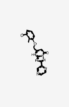 Cc1c(Cl)cccc1OCc1cc(=O)n2nc(-c3cnccn3)nc2[nH]1